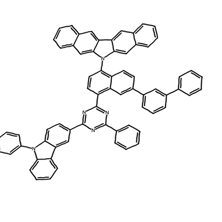 c1ccc(-c2cccc(-c3ccc4c(-n5c6cc7ccccc7cc6c6cc7ccccc7cc65)ccc(-c5nc(-c6ccccc6)nc(-c6ccc7c(c6)c6ccccc6n7-c6ccccc6)n5)c4c3)c2)cc1